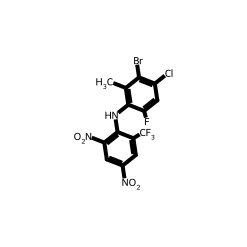 Cc1c(Br)c(Cl)cc(F)c1Nc1c([N+](=O)[O-])cc([N+](=O)[O-])cc1C(F)(F)F